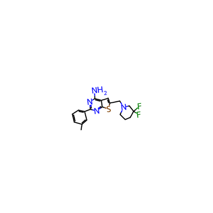 Cc1cccc(-c2nc(N)c3cc(CN4CCCC(F)(F)C4)sc3n2)c1